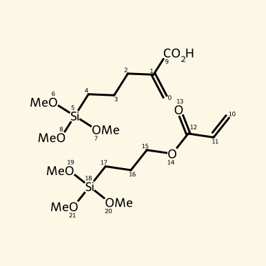 C=C(CCC[Si](OC)(OC)OC)C(=O)O.C=CC(=O)OCCC[Si](OC)(OC)OC